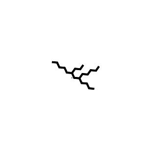 CCCCCC([CH]C(CCCC)CCCCC)CCC